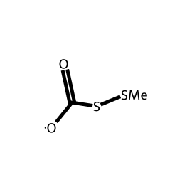 CSSC([O])=O